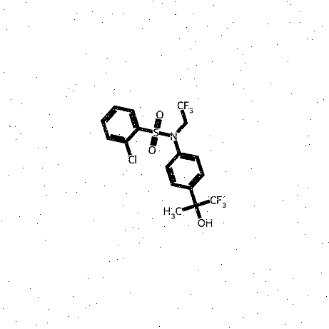 CC(O)(c1ccc(N(CC(F)(F)F)S(=O)(=O)c2ccccc2Cl)cc1)C(F)(F)F